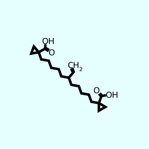 C=CC(CCCCCC1(C(=O)O)CC1)CCCCCC1(C(=O)O)CC1